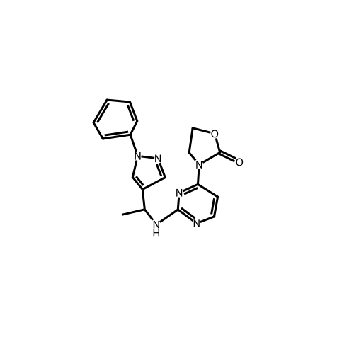 CC(Nc1nccc(N2CCOC2=O)n1)c1cnn(-c2ccccc2)c1